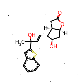 CC(O)(/C=C/[C@@H]1[C@H]2CC(=O)O[C@H]2C[C@H]1O)c1cc2ccccc2s1